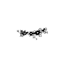 CC(=O)N(C[C@H](C)COc1ccc(C(C)(C)c2cc(Cl)c(OC[C@@H](O)CCl)c(Cl)c2)cc1)S(C)(=O)=O